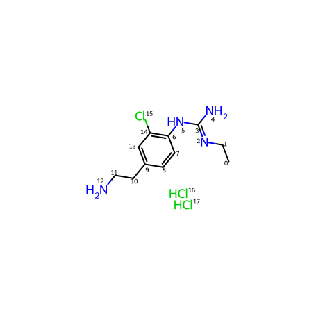 CCN=C(N)Nc1ccc(CCN)cc1Cl.Cl.Cl